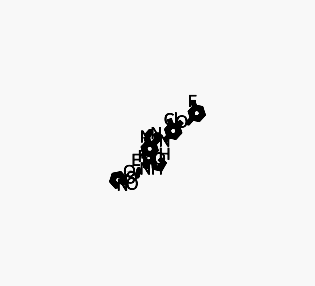 CCC(NCCS(=O)(=O)c1ccccn1)C1(c2cc3c(Nc4ccc(OCc5cccc(F)c5)c(Cl)c4)ncnc3cc2F)CC=CO1